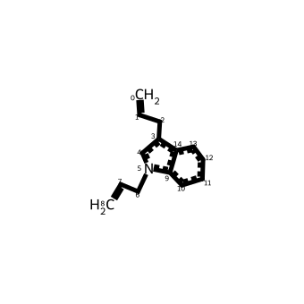 C=CCc1cn(CC=C)c2ccccc12